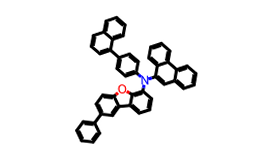 c1ccc(-c2ccc3oc4c(N(c5ccc(-c6cccc7ccccc67)cc5)c5cc6ccccc6c6ccccc56)cccc4c3c2)cc1